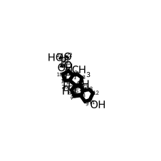 C[C@]12CC[C@H]3[C@@H](CC=C4CC(O)CC[C@@]43C)[C@@H]1CC[C@@H]2OP(=O)(O)O